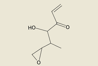 C=CC(=O)C(O)C(C)C1CO1